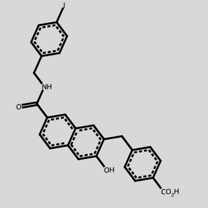 O=C(O)c1ccc(Cc2cc3cc(C(=O)NCc4ccc(I)cc4)ccc3cc2O)cc1